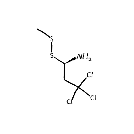 CSS[C@@H](N)CC(Cl)(Cl)Cl